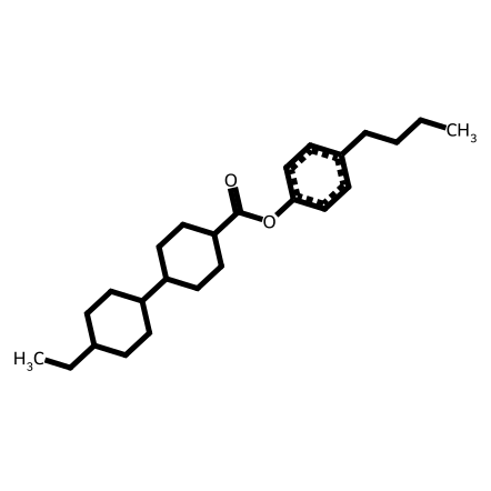 CCCCc1ccc(OC(=O)C2CCC(C3CCC(CC)CC3)CC2)cc1